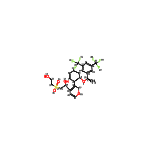 C[C@@H](OC1CCC=CC1C1=C(C(O)CS(=O)(=O)CCO)C=COC1)c1cc(C(F)(F)F)cc(C(F)(F)F)c1